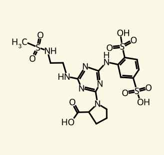 CS(=O)(=O)NCCNc1nc(Nc2cc(S(=O)(=O)O)ccc2S(=O)(=O)O)nc(N2CCCC2C(=O)O)n1